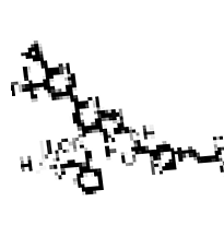 COCC1(CN(C)c2cc(-c3cnc(C4CC4)c(C(F)(F)F)c3)nc3nc(NC(=O)c4cn(CCC(=O)O)cn4)[nH]c23)CCCC1